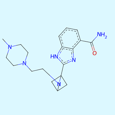 CN1CCN(CCN2CC3CC2(c2nc4c(C(N)=O)cccc4[nH]2)C3)CC1